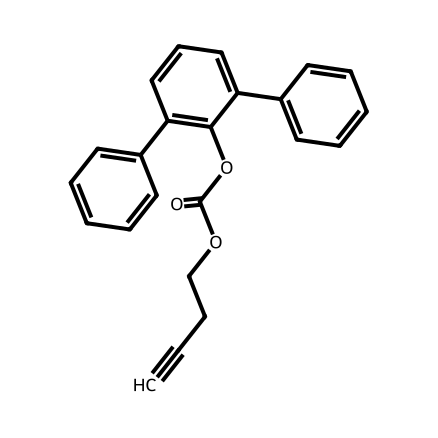 C#CCCOC(=O)Oc1c(-c2ccccc2)cccc1-c1ccccc1